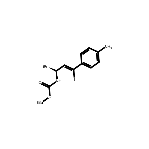 CC[C@H](C)[C@@H](C=C(I)c1ccc(C)cc1)NC(=O)OC(C)(C)C